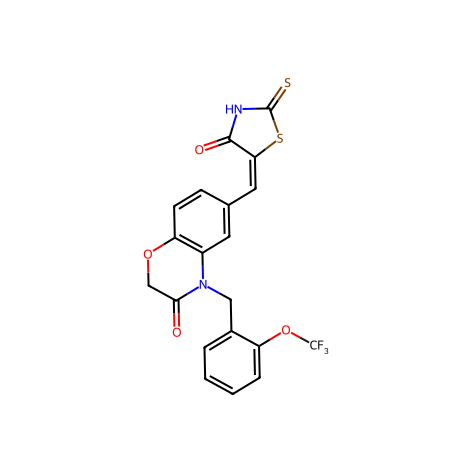 O=C1NC(=S)S/C1=C/c1ccc2c(c1)N(Cc1ccccc1OC(F)(F)F)C(=O)CO2